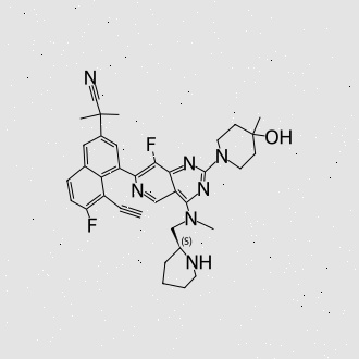 C#Cc1c(F)ccc2cc(C(C)(C)C#N)cc(-c3ncc4c(N(C)C[C@@H]5CCCCN5)nc(N5CCC(C)(O)CC5)nc4c3F)c12